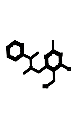 Cc1nc(Cl)c(CO)c(CN(C)C(C)c2ccccn2)n1